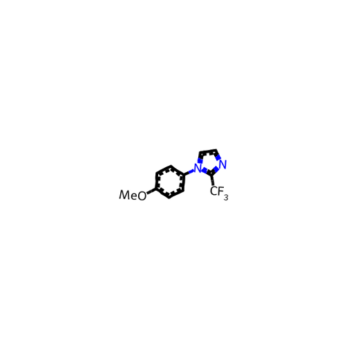 COc1ccc(-n2ccnc2C(F)(F)F)cc1